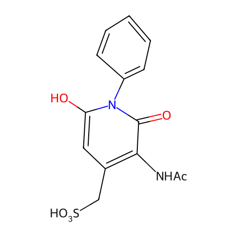 CC(=O)Nc1c(CS(=O)(=O)O)cc(O)n(-c2ccccc2)c1=O